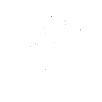 CSc1ccc(-c2nn([C@H](C)c3nc4ccc(F)cn4c(=O)c3-c3cccc(F)c3)c3ncnc(N)c23)cn1